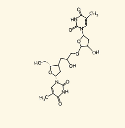 Cc1cn(C2CC(O)C(OCC(O)CC3C[C@H](n4cc(C)c(=O)[nH]c4=O)O[C@@H]3CO)O2)c(=O)[nH]c1=O